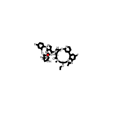 CCO[C@H]1CN(C)C(=O)[C@@H]2C[C@@H](CN2c2nc(N3[C@H]4C[C@@H]3C(=O)N(C)C4)nc3c2cnn3-c2ccc(F)cc2F)Oc2cc(ccn2)-c2cc(F)cc3nc(C)n(c23)C1